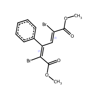 COC(=O)/C(Br)=C/C(=C(/Br)C(=O)OC)c1ccccc1